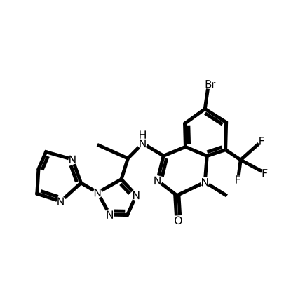 CC(Nc1nc(=O)n(C)c2c(C(F)(F)F)cc(Br)cc12)c1ncnn1-c1ncccn1